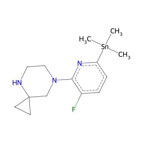 [CH3][Sn]([CH3])([CH3])[c]1ccc(F)c(N2CCNC3(CC3)C2)n1